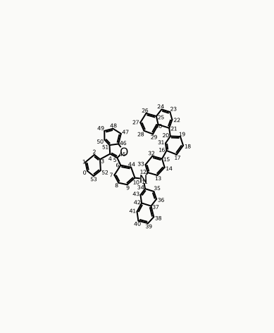 c1ccc(-c2c(-c3cccc(N(c4ccc(-c5cccc(-c6cccc7ccccc67)c5)cc4)c4ccc5ccccc5c4)c3)oc3ccccc23)cc1